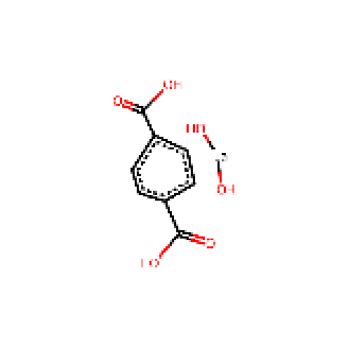 O=C(O)c1ccc(C(=O)O)cc1.[OH][La][OH]